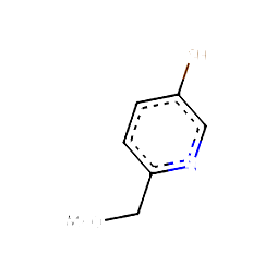 COCc1ccc(S)cn1